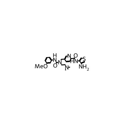 COc1cccc(NC(=O)N(CCN(C)C)Cc2ccc(C(=O)Nc3cscc3N)nc2)c1